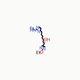 CCNc1nccc(CCCCC(O)/C=C/c2cnc(OCC)nc2)n1